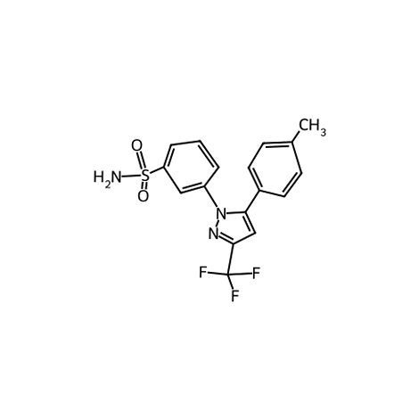 Cc1ccc(-c2cc(C(F)(F)F)nn2-c2cccc(S(N)(=O)=O)c2)cc1